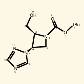 CC(C)(C)OC(=O)N1C[C@@H](n2cncn2)[C@H]1CO